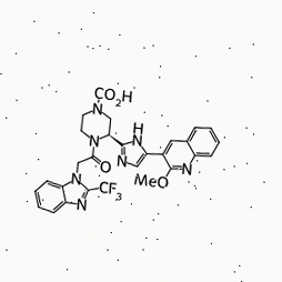 COc1nc2ccccc2cc1-c1cnc([C@@H]2CN(C(=O)O)CCN2C(=O)Cn2c(C(F)(F)F)nc3ccccc32)[nH]1